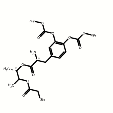 CCCOC(=O)Oc1ccc(C[C@H](N)C(=O)O[C@@H](C)C(C)OC(=O)CC(C)(C)C)cc1OC(=O)OCCC